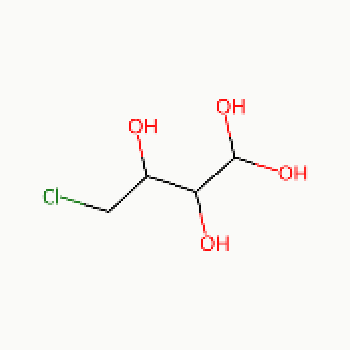 OC(O)C(O)C(O)CCl